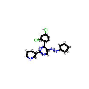 Clc1ccc(-c2nc(-c3cccnc3)ncc2N=Nc2ccccc2)c(Cl)c1